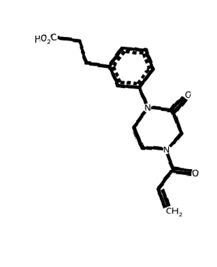 C=CC(=O)N1CCN(c2cccc(CCC(=O)O)c2)C(=O)C1